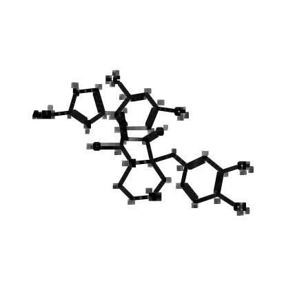 CC(=O)Nc1nc(/C=C/C(=O)C2(Cc3ccc(C)c(C)c3)CNCCN2C(=O)c2cc(C(F)(F)F)cc(C(F)(F)F)c2)cs1